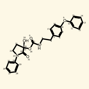 O=C(NCCc1ccc(Oc2ccccc2)cc1)O[C@@]1(O)CCN(c2ccccc2)C1=O